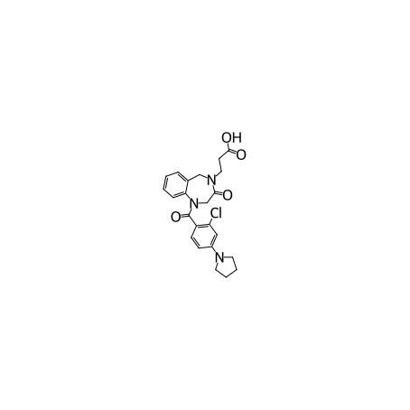 O=C(O)CCN1Cc2ccccc2N(C(=O)c2ccc(N3CCCC3)cc2Cl)CC1=O